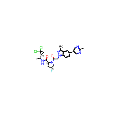 CC(=O)c1nn(CC(=O)N2C[C@H](F)C[C@H]2C(=O)NC(C)[C@H]2CC2(Cl)Cl)c2ccc(-c3cnc(C)nc3)cc12